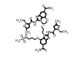 CCn1nc(C)cc1C(=O)Nc1nc2cc(C(N)=O)cc(OCCCNS(C)(=O)=O)c2n1CCC[C@H]1COc2cc(C(N)=O)cc3nc(NC(=O)c4cc(C)nn4CC)n1c23